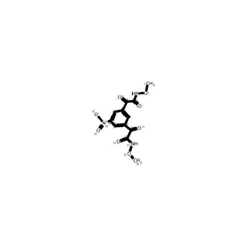 CONC(=O)C(=O)c1cc(C(=O)C(=O)NOC)cc([N+](=O)[O-])c1